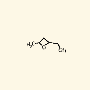 CC1CC(CO)O1